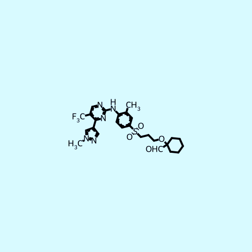 Cc1cc(S(=O)(=O)CCCOC2(C=O)CCCCC2)ccc1Nc1ncc(C(F)(F)F)c(-c2cnn(C)c2)n1